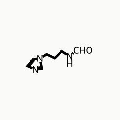 O=CNCCCn1ccnc1